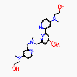 CN(Cc1cc(N(C)CCO)ccn1)Cc1cc(O)cc(-c2cc(N(C)CCO)ccn2)n1